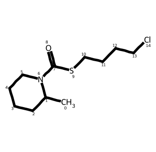 CC1CCCCN1C(=O)SCCCCCl